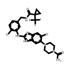 CC(=O)N1CCN(c2cc3[nH]c(Nc4cc(CNC(=O)C5(C(F)(F)F)CC5)ccc4Cl)nc3cc2Cl)CC1